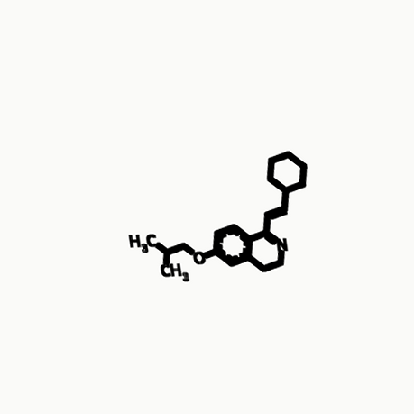 CC(C)COc1ccc2c(c1)CCN=C2/C=C/C1CCCCC1